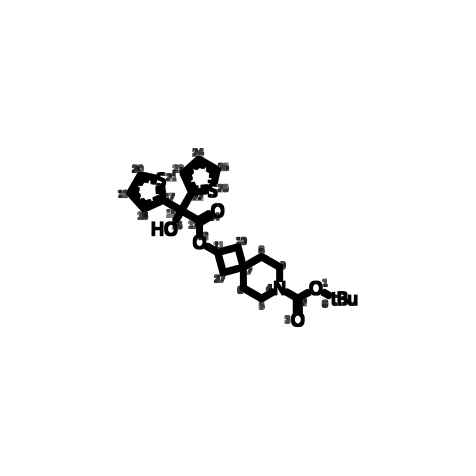 CC(C)(C)OC(=O)N1CCC2(CC1)CC(OC(=O)C(O)(c1cccs1)c1cccs1)C2